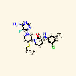 Nc1ncnc(N2CCC(SCC(=O)O)[C@@H](N3CCC[C@@H](Nc4cc(Cl)cc(C(F)(F)F)c4)C3=O)C2)c1F